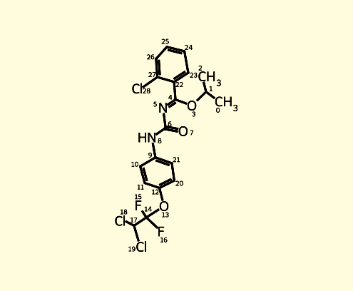 CC(C)OC(=NC(=O)Nc1ccc(OC(F)(F)C(Cl)Cl)cc1)c1ccccc1Cl